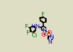 Cn1cnc(S(=O)(=O)N2CC(Nc3cc(F)c(F)c(Cl)c3)C(c3ccc(F)cc3)C2)c1